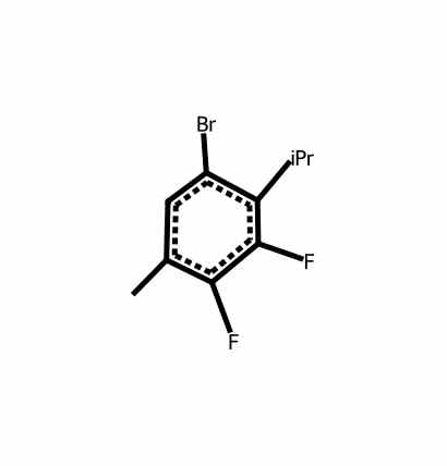 Cc1cc(Br)c(C(C)C)c(F)c1F